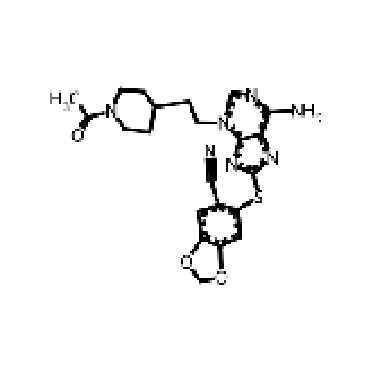 CC(=O)N1CCC(CCn2cnc(N)c3nc(Sc4cc5c(cc4C#N)OCO5)nc2-3)CC1